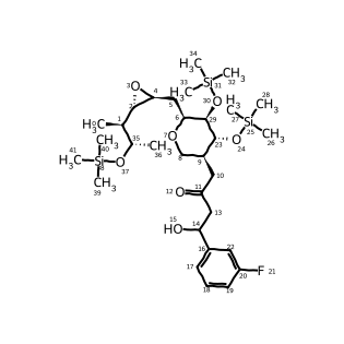 C[C@@H]([C@@H]1O[C@H]1C[C@@H]1OC[C@H](CC(=O)CC(O)c2cccc(F)c2)[C@@H](O[Si](C)(C)C)[C@@H]1O[Si](C)(C)C)[C@H](C)O[Si](C)(C)C